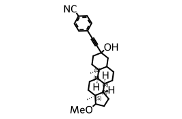 COC1CC[C@H]2[C@@H]3CCC4CC(O)(C#Cc5ccc(C#N)cc5)CC[C@]4(C)[C@@H]3CC[C@]12C